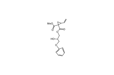 C=CC1CC1(C(=O)OC)C(=O)OCC(O)COc1ccccc1